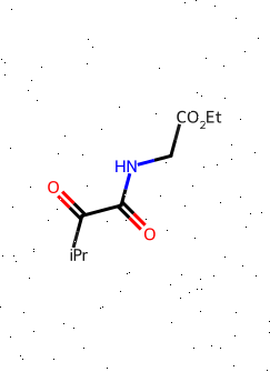 CCOC(=O)CNC(=O)C(=O)C(C)C